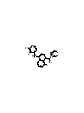 Cc1cccc2c(Nc3cccc(F)c3F)ccc(C(=O)N3CC4CC3CO4)c12